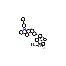 CC1(C)c2ccccc2C2(c3ccccc3-c3ccc(-c4ccc5c(ccc6cc(N(c7ccc(-c8ccccc8)cc7)c7ccccc7-c7ccccc7)ccc65)c4)cc32)c2ccccc21